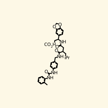 Cc1ccccc1NC(=O)Nc1ccc(CNC(=O)C(CC(=O)NC(CC(=O)O)c2ccc3c(c2)OCO3)CC(C)C)cc1